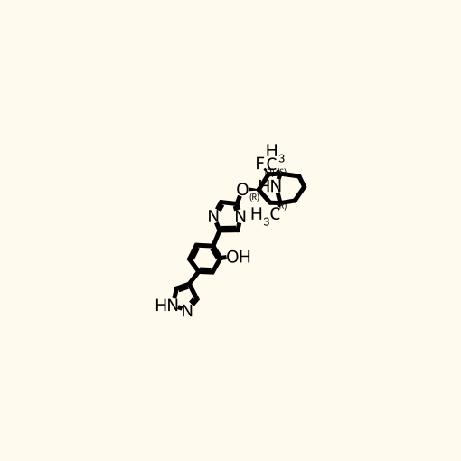 C[C@]12CCC[C@](C)(N1)[C@@H](F)[C@H](Oc1cnc(-c3ccc(-c4cn[nH]c4)cc3O)cn1)C2